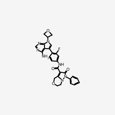 Nc1ncnc2c1c(-c1ccc(NC(=O)c3c4n(n(-c5ccccc5)c3=O)CCOC4)cc1F)cn2C1COC1